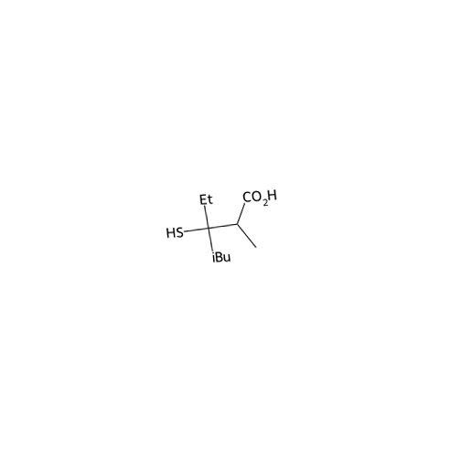 CCC(C)C(S)(CC)C(C)C(=O)O